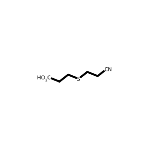 N#CCCSCCC(=O)O